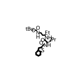 CCC(CCNC(=O)OC(C)(C)C)NC(=O)[C@H](CC(C)C)NC(=O)c1cc2ccccc2s1